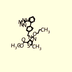 CCCOc1nc2c(C)sc(C(=O)OC)c2n1Cc1ccc(-c2ccccc2-c2nnn[nH]2)cc1